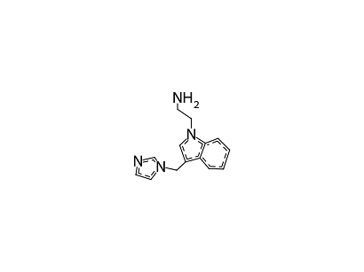 NCCn1cc(Cn2ccnc2)c2ccccc21